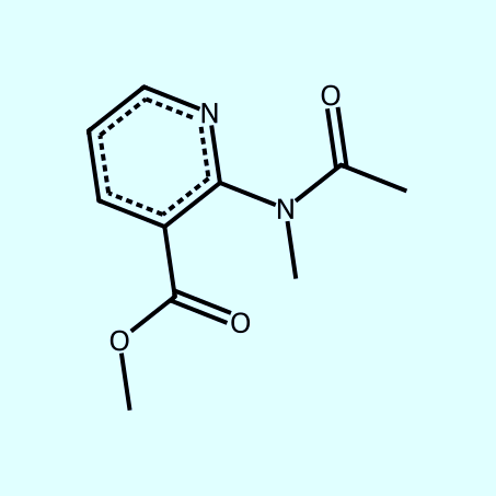 COC(=O)c1cccnc1N(C)C(C)=O